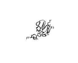 CCCCc1nc(O)c([S+]([O-])c2ccc(-c3ccc(F)nc3C)cc2)c(O)c1N1CCCOc2ccccc21